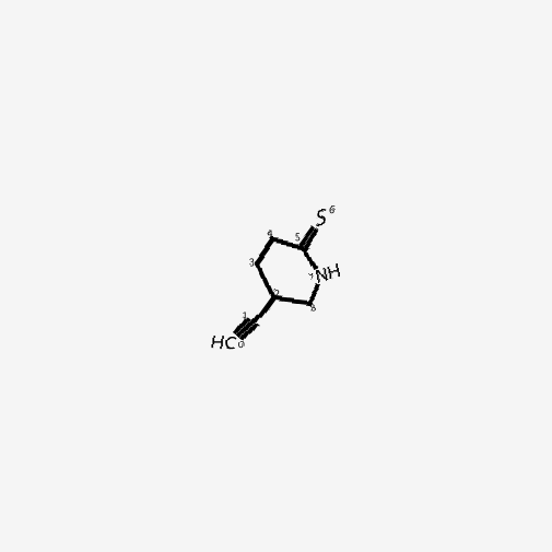 C#CC1CCC(=S)NC1